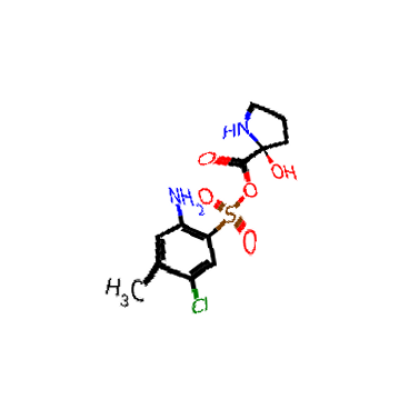 Cc1cc(N)c(S(=O)(=O)OC(=O)[C@@]2(O)CCCN2)cc1Cl